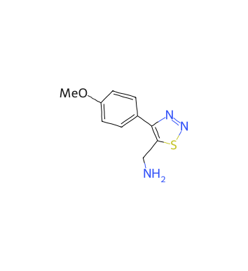 COc1ccc(-c2nnsc2CN)cc1